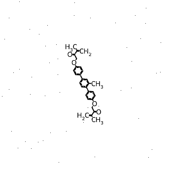 C=C(C)C(=O)COc1ccc(-c2ccc(-c3ccc(OCC(=O)C(=C)C)cc3)c(C)c2)cc1